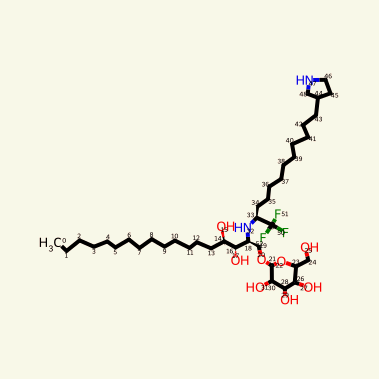 CCCCCCCCCCCCCC[C@@H](O)[C@@H](O)[C@H](COC1OC(CO)C(O)C(O)C1O)N[C@@H](CCCCCCCCCCC1CCNC1)C(F)(F)F